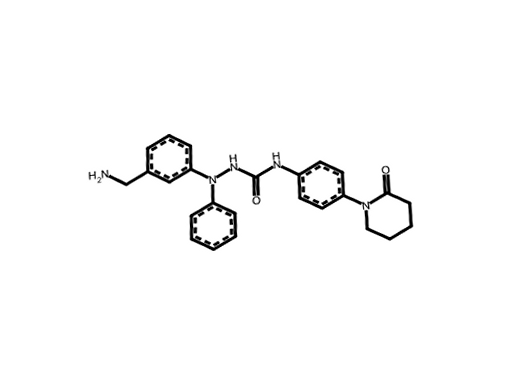 NCc1cccc(N(NC(=O)Nc2ccc(N3CCCCC3=O)cc2)c2ccccc2)c1